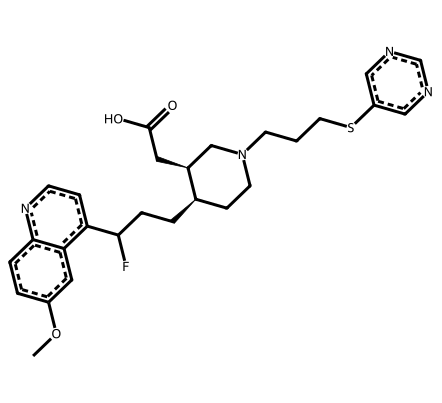 COc1ccc2nccc(C(F)CC[C@@H]3CCN(CCCSc4cncnc4)C[C@@H]3CC(=O)O)c2c1